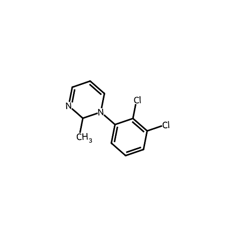 CC1N=CC=CN1c1cccc(Cl)c1Cl